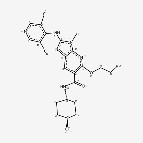 Cn1c(Nc2c(Cl)cncc2Cl)nc2cc(C(=O)N[C@H]3CC[C@H](C(F)(F)F)CC3)c(OCCF)nc21